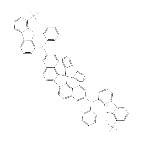 CC(C)(C)c1cccc2c1oc1c(N(c3ccccc3)c3ccc4c5c(ccc4c3)-c3ccc4cc(N(c6ccccc6)c6cccc7c6oc6c(C(C)(C)C)cccc67)ccc4c3C53c4ccccc4-c4ccccc43)cccc12